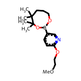 COCCOc1ccc(B2OCCCC(C)(C)C(C)(C)O2)cn1